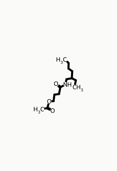 CCCCC(CC)CNC(=O)CCCOC(C)=O